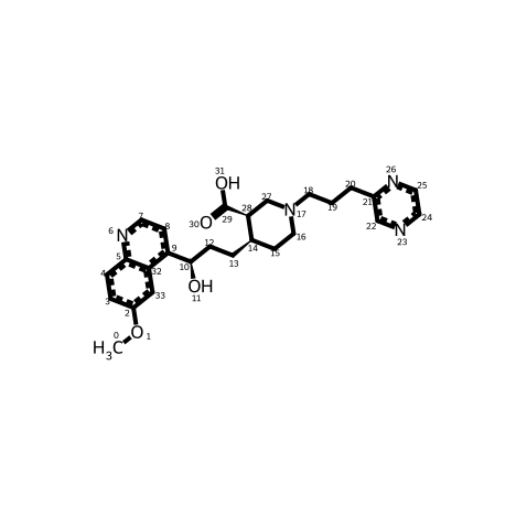 COc1ccc2nccc([C@H](O)CC[C@@H]3CCN(CCCc4cnccn4)C[C@@H]3C(=O)O)c2c1